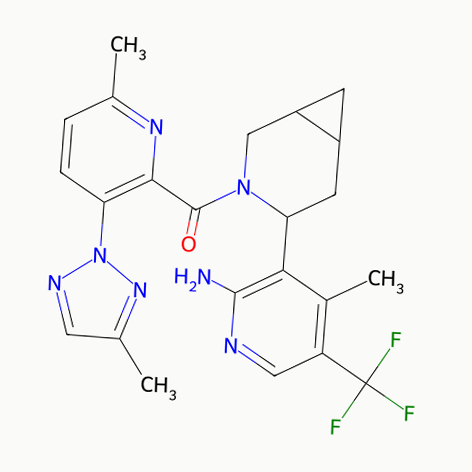 Cc1ccc(-n2ncc(C)n2)c(C(=O)N2CC3CC3CC2c2c(N)ncc(C(F)(F)F)c2C)n1